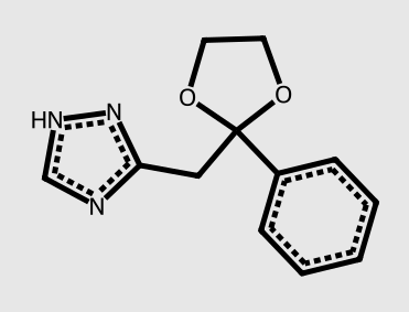 c1ccc(C2(Cc3nc[nH]n3)OCCO2)cc1